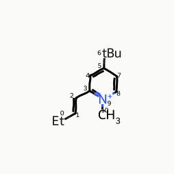 CC/C=C/c1cc(C(C)(C)C)cc[n+]1C